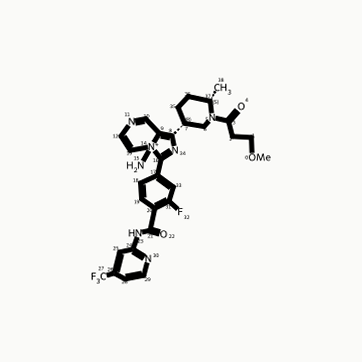 COCCC(=O)N1C[C@H](C2=C3C=NC=C[N+]3(N)C(c3ccc(C(=O)Nc4cc(C(F)(F)F)ccn4)c(F)c3)=N2)CC[C@@H]1C